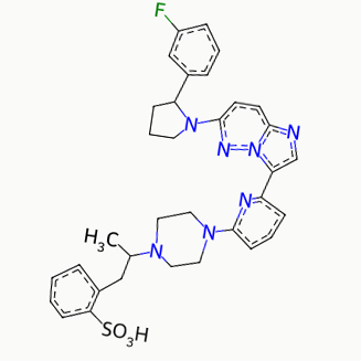 CC(Cc1ccccc1S(=O)(=O)O)N1CCN(c2cccc(-c3cnc4ccc(N5CCCC5c5cccc(F)c5)nn34)n2)CC1